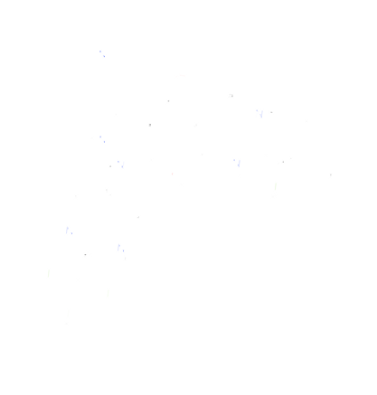 N#CC1=NN(c2cnc(C(F)(F)F)nc2)C(O)C1C(O)c1cnc(C(F)(F)F)nc1